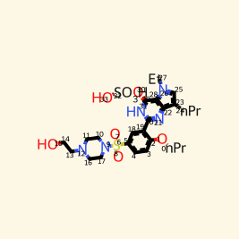 CCCOc1ccc(S(=O)(=O)N2CCN(CCO)CC2)cc1-c1nc2c(CCC)cn(CC)c2c(=O)[nH]1.O=S(=O)(O)O